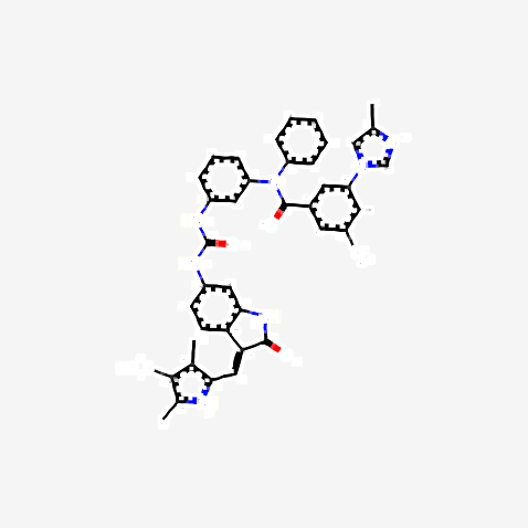 Cc1cn(-c2cc(C(=O)N(c3ccccc3)c3cccc(NC(=O)Nc4ccc5c(c4)NC(=O)C5=Cc4[nH]c(C)c(C(=O)O)c4C)c3)cc(C(F)(F)F)c2)cn1